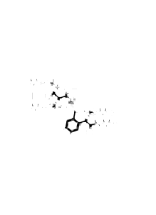 CNC(=O)C(=NOC)c1ccccc1CON=C(C)C(=NOC)C(C)=NOC